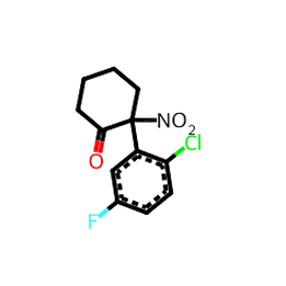 O=C1CCCCC1(c1cc(F)ccc1Cl)[N+](=O)[O-]